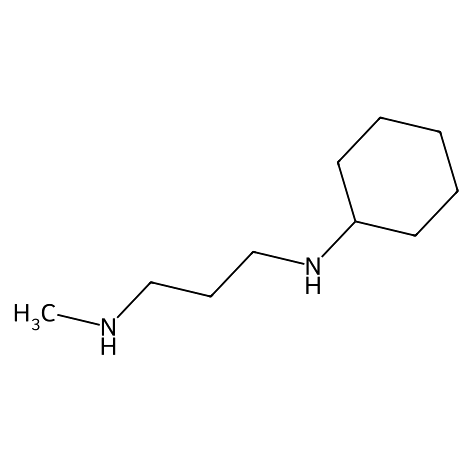 CNCCCNC1CCCCC1